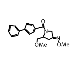 COCC1CC(=NOC)CN1C(=O)c1ccc(-c2ccccc2)cc1